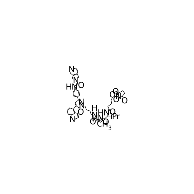 CC(C)C(NC(=O)CCCC(=O)ON1C(=O)CCC1=O)C(=O)N[C@@H](C)C(=O)NCCCCn1nc(-c2ccc(NC(=O)N3Cc4ccncc4C3)cc2)cc(-c2cccc3ncccc23)c1=O